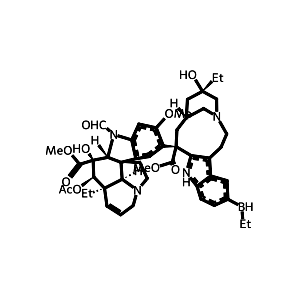 CCBc1ccc2[nH]c3c(c2c1)CCN1C[C@@H](C[C@@](O)(CC)C1)C[C@]3(C(=O)OC)c1cc2c(cc1OC)N(C=O)[C@H]1[C@@](O)(C(=O)OC)[C@H](OC(C)=O)[C@]3(CC)C=CCN4CC[C@]21[C@@H]43